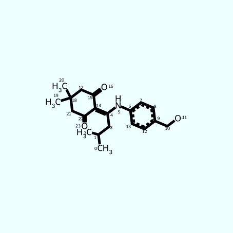 CC(C)CC(Nc1ccc(C[O])cc1)=C1C(=O)CC(C)(C)CC1=O